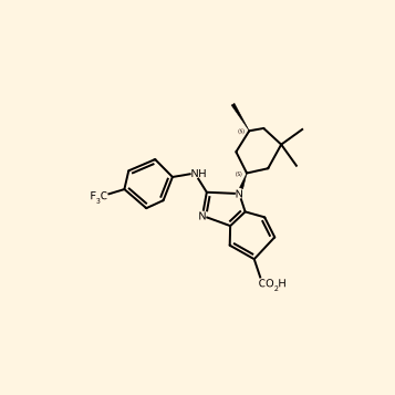 C[C@@H]1C[C@H](n2c(Nc3ccc(C(F)(F)F)cc3)nc3cc(C(=O)O)ccc32)CC(C)(C)C1